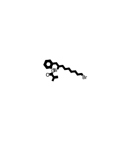 C=C(C)C(=O)Oc1ccccc1CC(Br)CCCCCCCBr